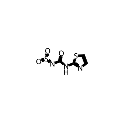 O=C(N=S(=O)=O)Nc1nccs1